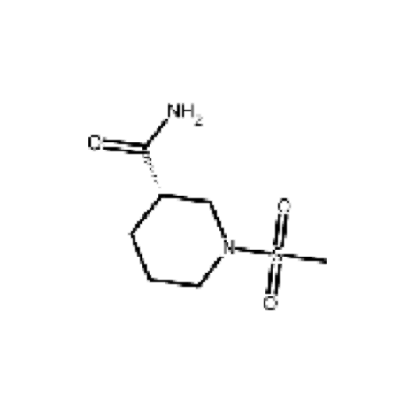 CS(=O)(=O)N1CCC[C@H](C(N)=O)C1